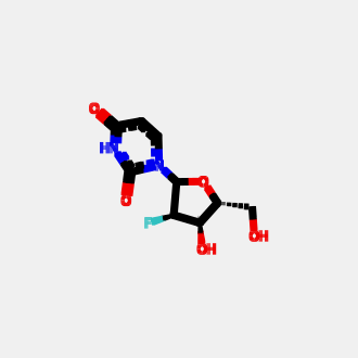 O=c1ccn(C2O[C@H](CO)[C@@H](O)[C@H]2F)c(=O)[nH]1